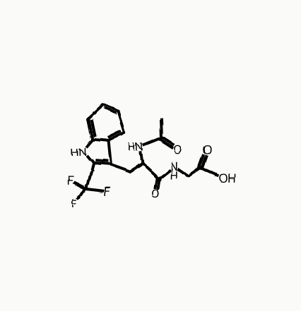 CC(=O)NC(Cc1c(C(F)(F)F)[nH]c2ccccc12)C(=O)NCC(=O)O